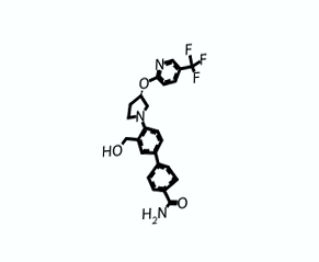 NC(=O)c1ccc(-c2ccc(N3CC[C@H](Oc4ccc(C(F)(F)F)cn4)C3)c(CO)c2)cc1